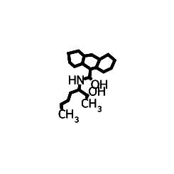 CCCCC(NC(O)C1C2CCCCC2CC2CCCCC21)C(C)O